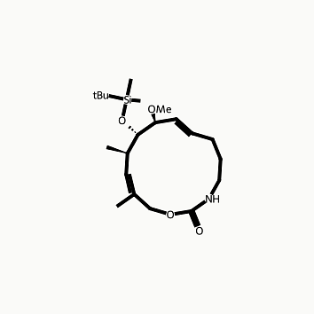 CO[C@H]1/C=C/CCCNC(=O)OC/C(C)=C\[C@@H](C)[C@@H]1O[Si](C)(C)C(C)(C)C